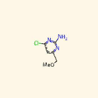 COCc1cc(Cl)nc(N)n1